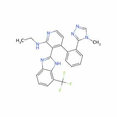 CCNc1nccc(-c2ccccc2-c2nncn2C)c1-c1nc2cccc(C(F)(F)F)c2[nH]1